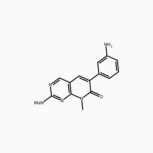 CNc1ncc2cc(-c3cccc(N)c3)c(=O)n(C)c2n1